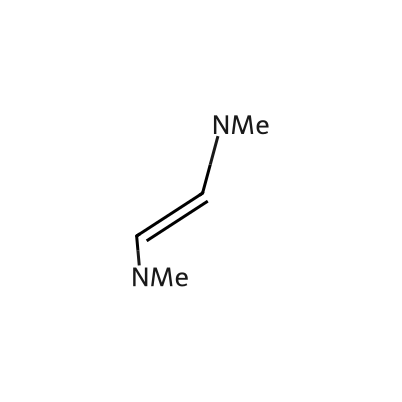 CNC=CNC